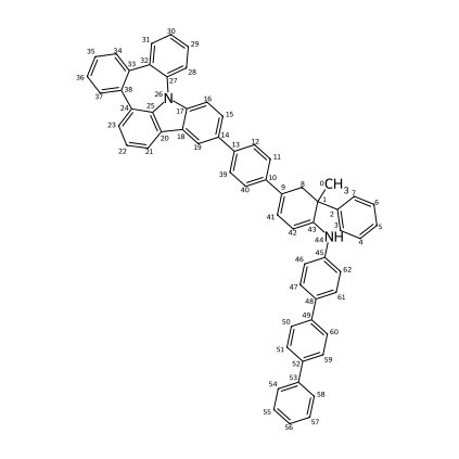 CC1(c2ccccc2)CC(c2ccc(-c3ccc4c(c3)c3cccc5c3n4-c3ccccc3-c3ccccc3-5)cc2)=CC=C1Nc1ccc(-c2ccc(-c3ccccc3)cc2)cc1